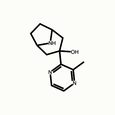 Cc1nccnc1C1(O)CC2CCC(C1)N2